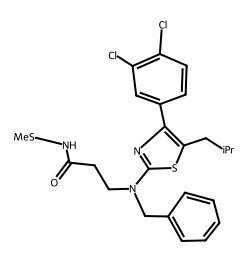 CSNC(=O)CCN(Cc1ccccc1)c1nc(-c2ccc(Cl)c(Cl)c2)c(CC(C)C)s1